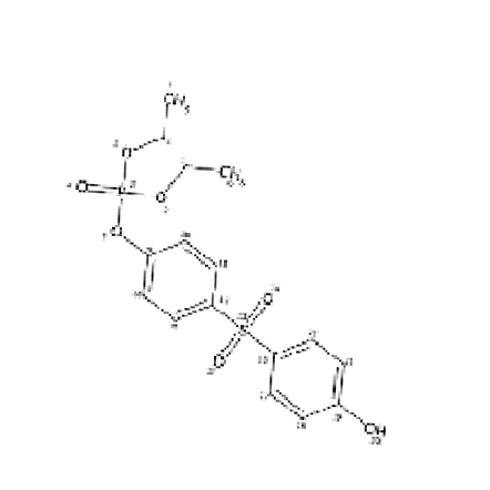 CCOP(=O)(OCC)Oc1ccc(S(=O)(=O)c2ccc(O)cc2)cc1